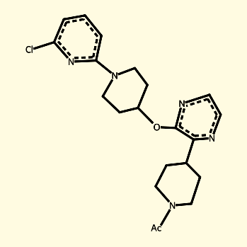 CC(=O)N1CCC(c2nccnc2OC2CCN(c3cccc(Cl)n3)CC2)CC1